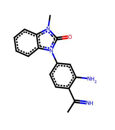 CC(=N)c1ccc(-n2c(=O)n(C)c3ccccc32)cc1N